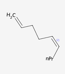 C=CCC/C=C\CCC